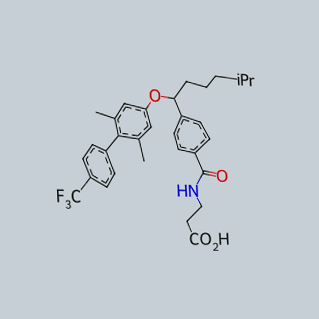 Cc1cc(OC(CCCC(C)C)c2ccc(C(=O)NCCC(=O)O)cc2)cc(C)c1-c1ccc(C(F)(F)F)cc1